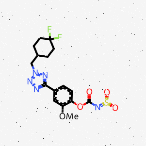 COc1cc(-c2nnn(CC3CCC(F)(F)CC3)n2)ccc1OC(=O)N=S(=O)=O